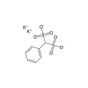 O=S(=O)([O-])C(c1ccccc1)S(=O)(=O)[O-].[K+].[K+]